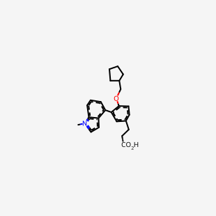 Cn1ccc2c(-c3cc(CCC(=O)O)ccc3OCC3CCCC3)cccc21